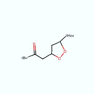 CCCCCCC1CC(CC(=O)C(C)(C)C)OO1